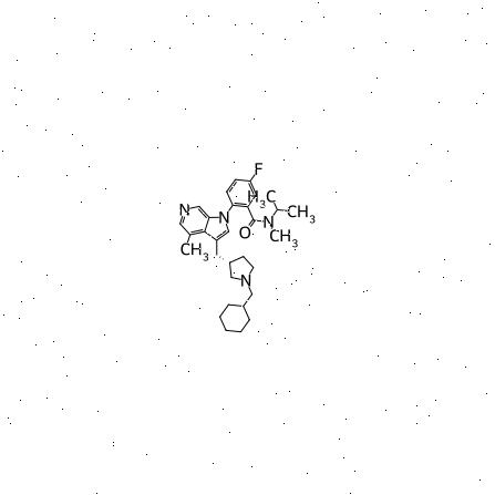 Cc1cncc2c1c(C[C@@H]1CCN(CC3CCCCC3)C1)cn2-c1ccc(F)cc1C(=O)N(C)C(C)C